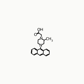 CC1CN(c2c3ccccc3cc3ccccc23)CCN1CC(=O)O